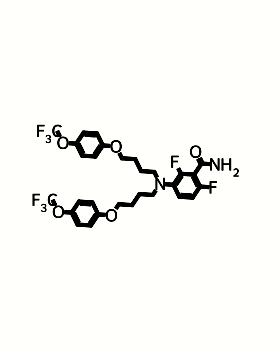 NC(=O)c1c(F)ccc(N(CCCCOc2ccc(OC(F)(F)F)cc2)CCCCOc2ccc(OC(F)(F)F)cc2)c1F